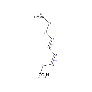 CCCCCCCC/C=C/C=C\CC(=O)O